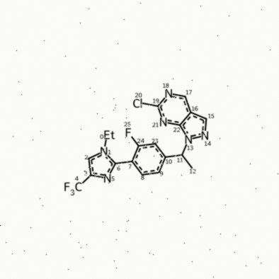 CCn1cc(C(F)(F)F)nc1-c1ccc(C(C)n2ncc3cnc(Cl)nc32)cc1F